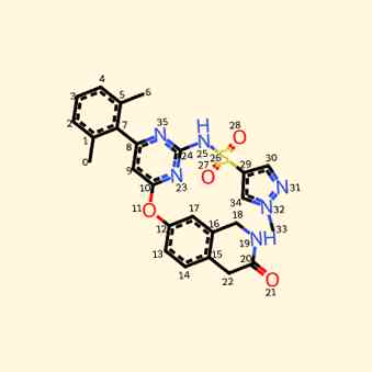 Cc1cccc(C)c1-c1cc(Oc2ccc3c(c2)CNC(=O)C3)nc(NS(=O)(=O)c2cnn(C)c2)n1